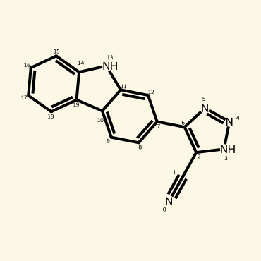 N#Cc1[nH]nnc1-c1ccc2c(c1)[nH]c1ccccc12